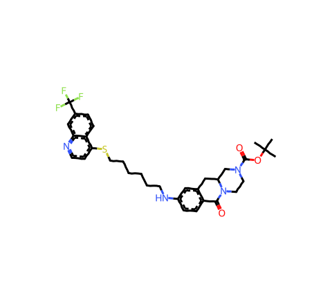 CC(C)(C)OC(=O)N1CCN2C(=O)c3ccc(NCCCCCCSc4ccnc5cc(C(F)(F)F)ccc45)cc3CC2C1